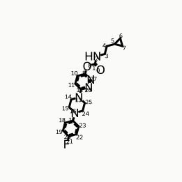 O=C(NCCC1CC1)Oc1ccc(N2CCN(c3ccc(F)cc3)CC2)nn1